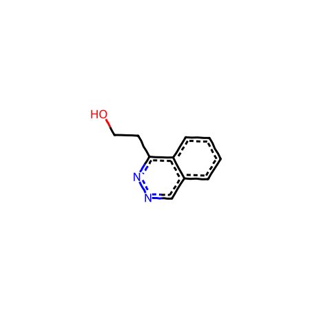 OCCc1nncc2ccccc12